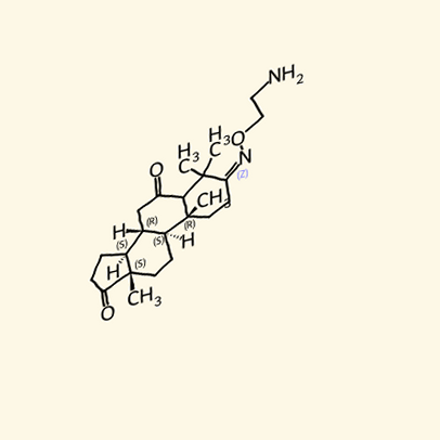 CC1(C)/C(=N\OCCN)CC[C@@]2(C)C1C(=O)C[C@@H]1[C@@H]2CC[C@]2(C)C(=O)CC[C@@H]12